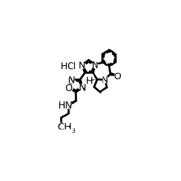 CCCNCc1nc(-c2ncn3c2[C@@H]2CCCN2C(=O)c2ccccc2-3)no1.Cl